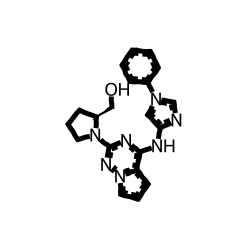 OC[C@@H]1CCCN1c1nc(Nc2cn(-c3ccccc3)cn2)c2cccn2n1